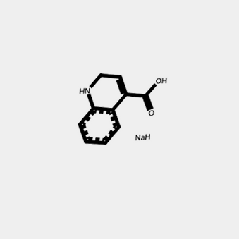 O=C(O)C1=CCNc2ccccc21.[NaH]